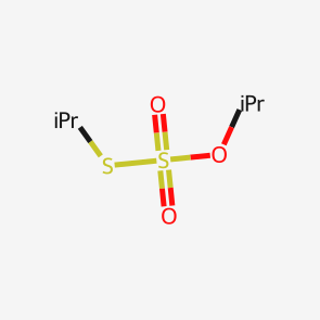 CC(C)OS(=O)(=O)SC(C)C